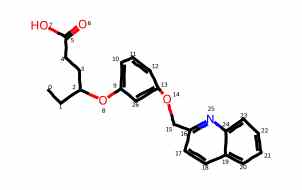 CCC(CCC(=O)O)Oc1cccc(OCc2ccc3ccccc3n2)c1